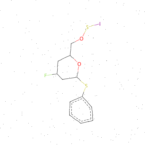 FC1CC(COSI)OC(Sc2ccccc2)C1